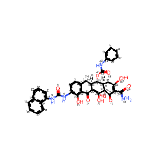 C[C@H]1c2ccc(NC(=O)Nc3cccc4ccccc34)c(O)c2C(=O)C2=C(O)[C@]3(O)C(=O)C(C(N)=O)=C(O)C[C@@H]3[C@@H](OC(=O)Nc3ccccc3)[C@@H]21